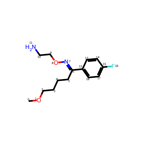 COCCCC/C(=N\OCCN)c1ccc(F)cc1